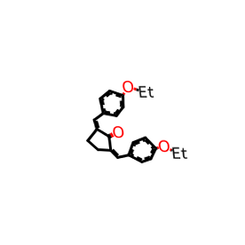 CCOc1ccc(C=C2CCC(=Cc3ccc(OCC)cc3)C2=O)cc1